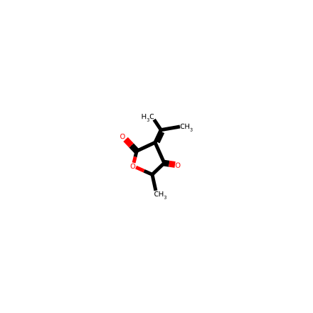 CC(C)=C1C(=O)OC(C)C1=O